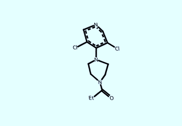 CCC(=O)N1CCN(c2c(Cl)cncc2Cl)CC1